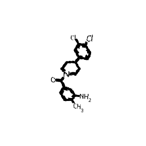 Cc1ccc(C(=O)N2CCC(c3ccc(Cl)c(Cl)c3)CC2)cc1N